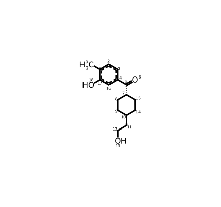 Cc1ccc(C(=O)[C@H]2CC[C@H](CCO)CC2)cc1O